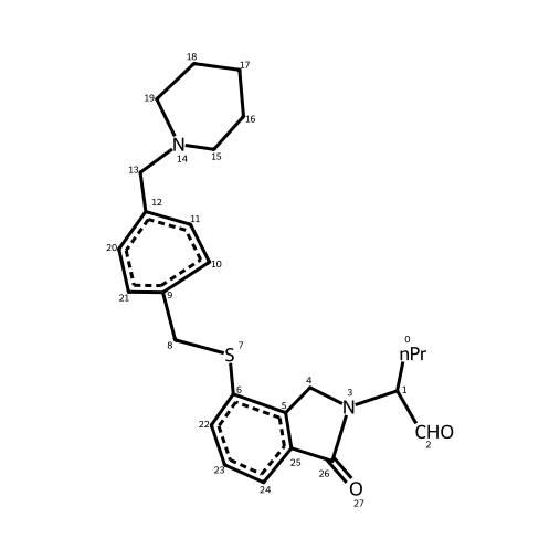 CCCC(C=O)N1Cc2c(SCc3ccc(CN4CCCCC4)cc3)cccc2C1=O